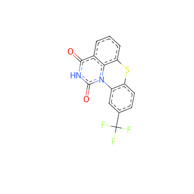 O=c1[nH]c(=O)n2c3c(cccc13)Sc1ccc(C(F)(F)F)cc1-2